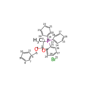 CC(C(=O)OCc1ccccc1)[P+](c1ccccc1)(c1ccccc1)c1ccccc1.[Br-]